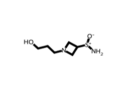 N[S+]([O-])C1CN(CCCO)C1